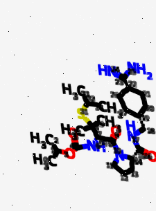 CC(C)OC(=O)N[C@@H](C(=O)N1CCC[C@H]1C(=O)NC[C@H]1CC[C@H](C(=N)N)CC1)C(C)(C)SC(C)C